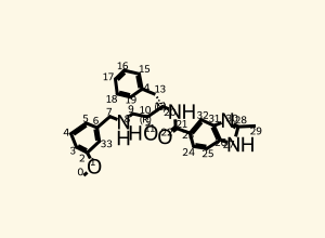 COc1cccc(CNC[C@@H](O)[C@H](Cc2ccccc2)NC(=O)c2ccc3[nH]c(C)nc3c2)c1